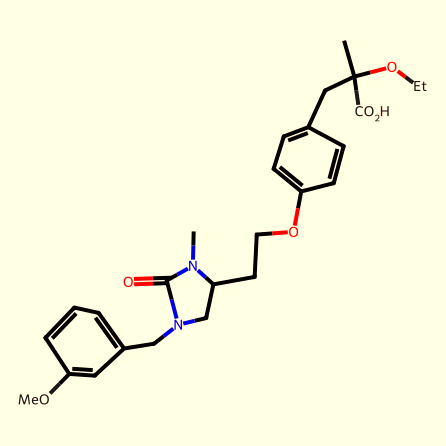 CCOC(C)(Cc1ccc(OCCC2CN(Cc3cccc(OC)c3)C(=O)N2C)cc1)C(=O)O